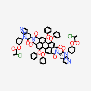 C=C(Cl)C(=O)OC1CCCC(NC(=O)C(Cc2ccncc2)N2C(=O)c3cc(Oc4ccccc4)c4c5c(Oc6ccccc6)cc6c7c(cc(Oc8ccccc8)c(c8c(Oc9ccccc9)cc(c3c48)C2=O)c75)C(=O)N(C(Cc2ccncc2)C(=O)NC2CCCC(OC(=O)C(=C)Cl)C2)C6=O)C1